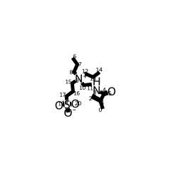 CC1=CNC1=O.CCC[N+](CC)(CCC)CCCS(=O)(=O)[O-]